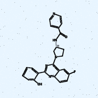 O=C(N[C@@H]1CCN(c2nc(-c3ccccc3O)nc3ccc(F)cc23)C1)c1ccncc1